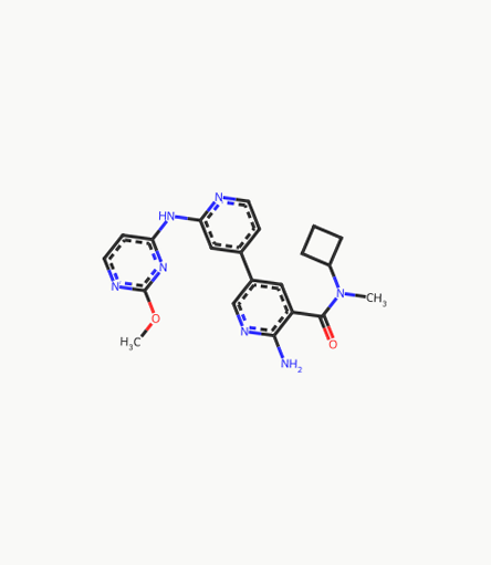 COc1nccc(Nc2cc(-c3cnc(N)c(C(=O)N(C)C4CCC4)c3)ccn2)n1